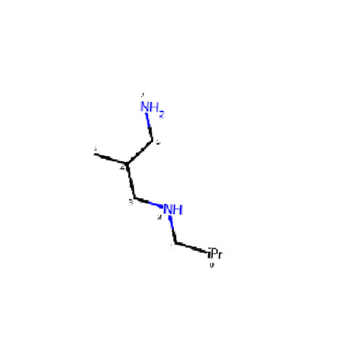 CC(C)CNCC(C)CN